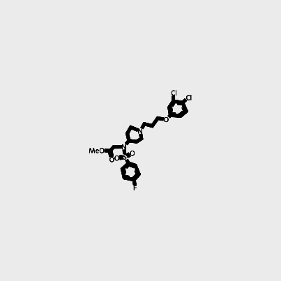 COC(=O)CN(C1CCN(CCCOc2ccc(Cl)c(Cl)c2)CC1)S(=O)(=O)c1ccc(F)cc1